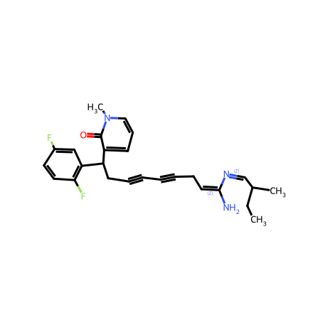 CCC(C)/C=N\C(N)=C/CC#CC#CCC(c1cc(F)ccc1F)c1cccn(C)c1=O